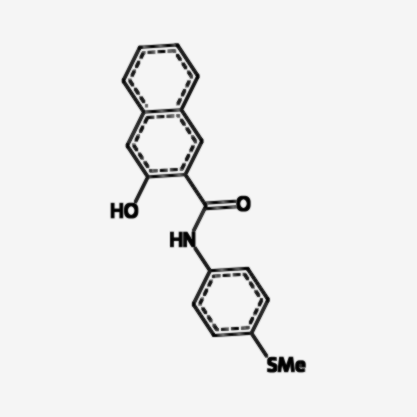 CSc1ccc(NC(=O)c2cc3ccccc3cc2O)cc1